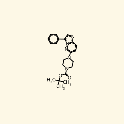 CC(C)(C)OC(=O)N1CCN(c2ccc3ncc(-c4ccccc4)n3n2)CC1